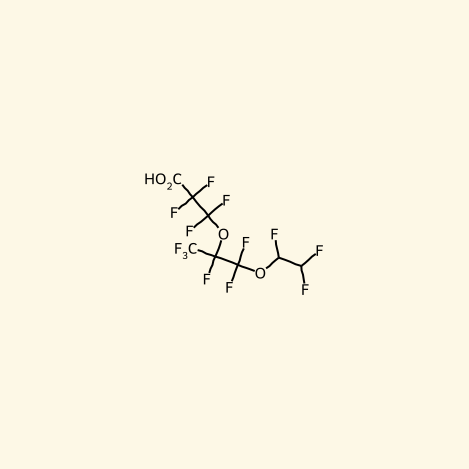 O=C(O)C(F)(F)C(F)(F)OC(F)(C(F)(F)F)C(F)(F)OC(F)C(F)F